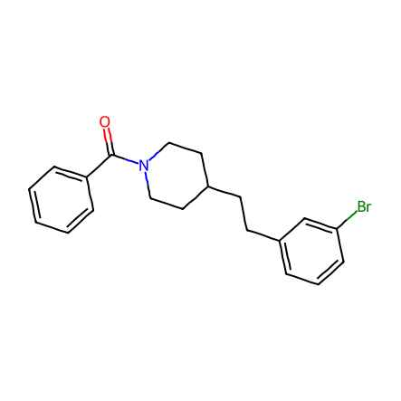 O=C(c1ccccc1)N1CCC(CCc2cccc(Br)c2)CC1